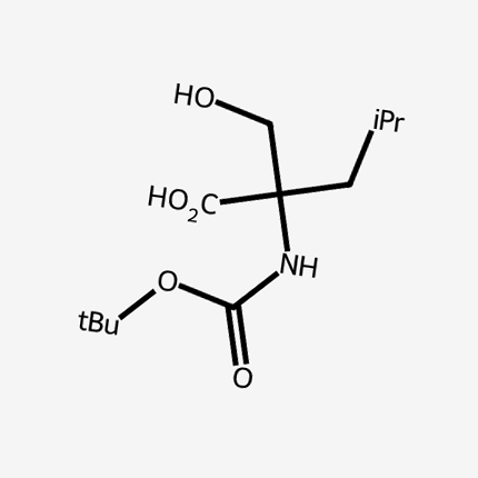 CC(C)CC(CO)(NC(=O)OC(C)(C)C)C(=O)O